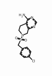 Nc1ncnc2c1CCN(S(=O)(=O)Cc1ccc(Cl)cc1)C2